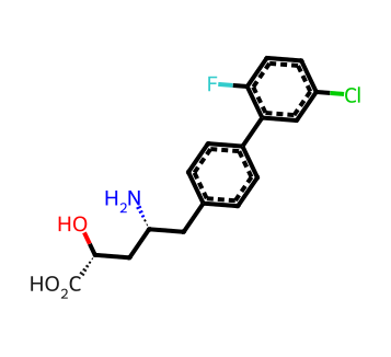 N[C@H](Cc1ccc(-c2cc(Cl)ccc2F)cc1)C[C@@H](O)C(=O)O